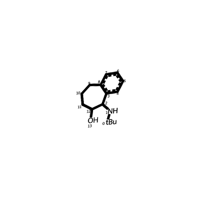 CC(C)(C)NC1c2ccccc2CCCC1O